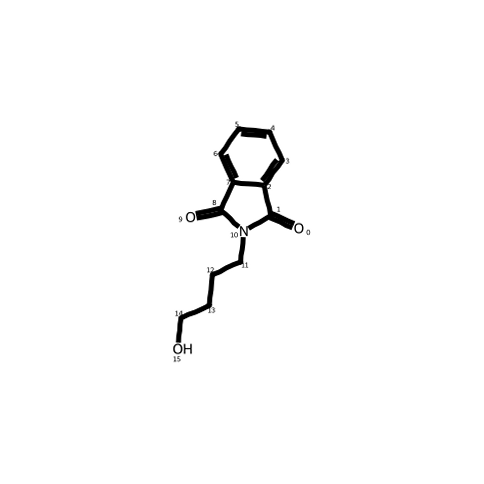 O=C1c2ccccc2C(=O)N1CCCCO